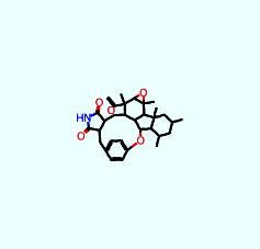 C=CC1(C)C2C(=O)C3C(=O)NC(=O)C3Cc3ccc(cc3)OC3C2C(C2(C)CC(C)CC(C)C32)C2(C)OC12